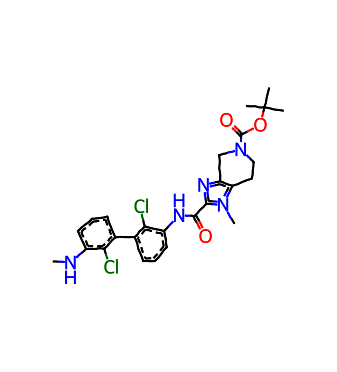 CNc1cccc(-c2cccc(NC(=O)c3nc4c(n3C)CCN(C(=O)OC(C)(C)C)C4)c2Cl)c1Cl